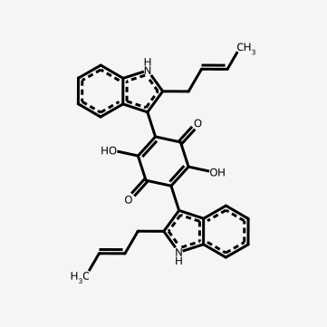 CC=CCc1[nH]c2ccccc2c1C1=C(O)C(=O)C(c2c(CC=CC)[nH]c3ccccc23)=C(O)C1=O